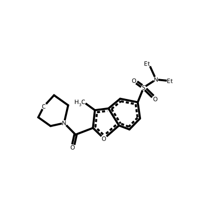 CCN(CC)S(=O)(=O)c1ccc2oc(C(=O)N3CCCCC3)c(C)c2c1